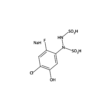 O=S(=O)(O)NN(c1cc(O)c(Cl)cc1F)S(=O)(=O)O.[NaH]